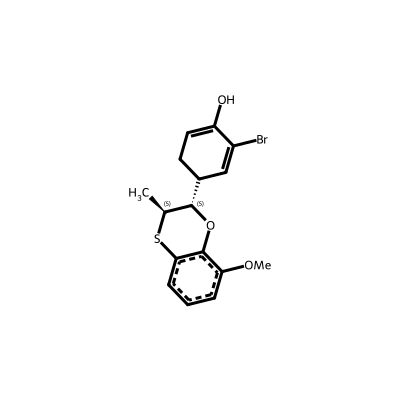 COc1cccc2c1O[C@@H](C1C=C(Br)C(O)=CC1)[C@H](C)S2